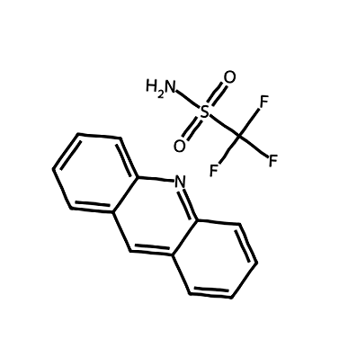 NS(=O)(=O)C(F)(F)F.c1ccc2nc3ccccc3cc2c1